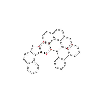 c1ccc(-c2ccccc2N(c2ccc3sc4ccc5ccccc5c4c3c2)c2cccc3ccc4ccc5ccccc5c4c23)cc1